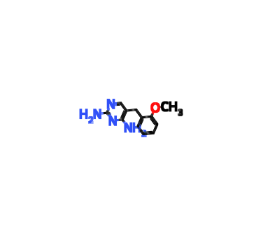 COc1ccccc1Cc1cnc(N)nc1N